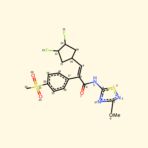 COc1nsc(NC(=O)/C(=C/C2CC(F)C(F)C2)c2ccc(S(C)(=O)=O)cc2)n1